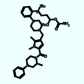 COC(CC[C@@H](c1ccccc1N1CCN(Cc2cc(C(=O)N3CCN(c4ccccc4)CC3C)n(C)c2C)CC1)C(C)(C)C)OC(N)=O